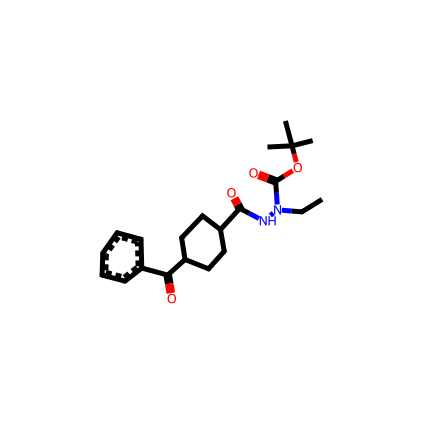 CCN(NC(=O)C1CCC(C(=O)c2ccccc2)CC1)C(=O)OC(C)(C)C